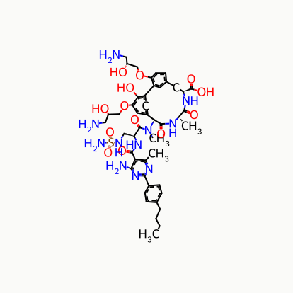 CCCCc1ccc(-c2nc(C)c(C(=O)N[C@@H](CNS(N)(=O)=O)C(=O)N(C)[C@@H]3C(=O)N[C@@H](C)C(=O)N[C@H](C(=O)O)Cc4ccc(OC[C@H](O)CN)c(c4)-c4cc3cc(OC[C@H](O)CN)c4O)c(N)n2)cc1